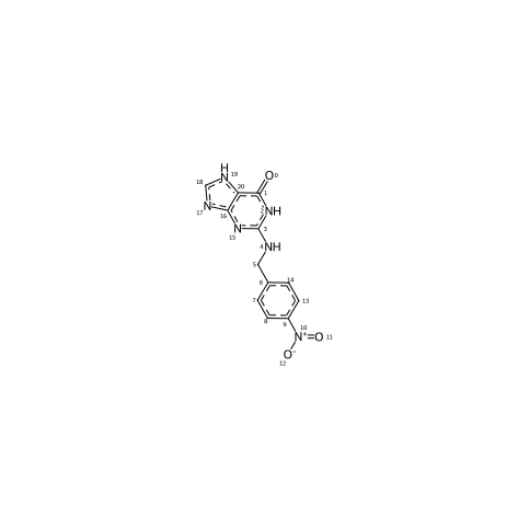 O=c1[nH]c(NCc2ccc([N+](=O)[O-])cc2)nc2nc[nH]c12